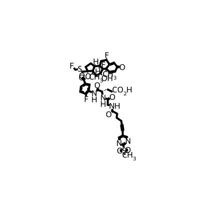 C[C@]12C=CC(=O)C=C1[C@@H](F)C[C@H]1[C@@H]3CC[C@](OC(=O)c4ccc(F)c(NC(=O)[C@H](CCC(=O)O)NC(=O)CNC(=O)CCCC#Cc5cnc(S(C)(=O)=O)nc5)c4)(C(=O)SCF)[C@@]3(C)C[C@H](O)[C@@]12F